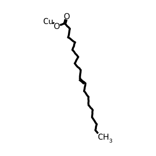 CCCCCCCCC=CCCCCCCCC(=O)[O][Cu]